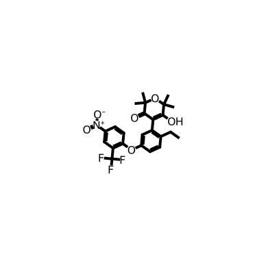 CCc1ccc(Oc2ccc([N+](=O)[O-])cc2C(F)(F)F)cc1C1=C(O)C(C)(C)OC(C)(C)C1=O